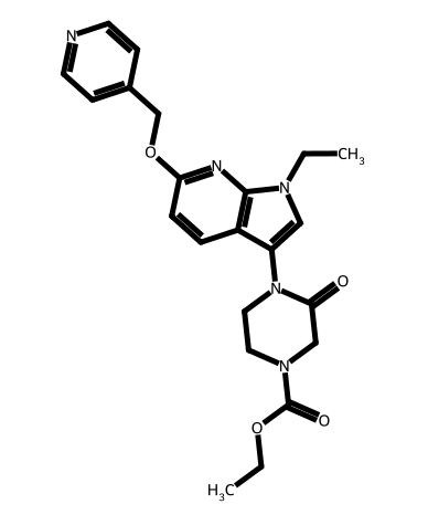 CCOC(=O)N1CCN(c2cn(CC)c3nc(OCc4ccncc4)ccc23)C(=O)C1